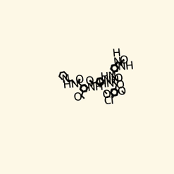 COc1cc(C(=O)C(NNc2ccc(C(=O)Nc3cc(C(C)=O)cc(C(=O)NCCN4CCCCC4)c3)cc2)C(=O)Nc2ccc3[nH]c(=O)[nH]c3c2)c(OC)cc1Cl